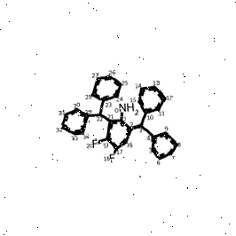 Nc1c(C(c2ccccc2)c2ccccc2)cc(F)c(F)c1C(c1ccccc1)c1ccccc1